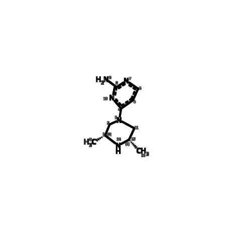 C[C@@H]1CN(c2ccnc(N)n2)C[C@H](C)N1